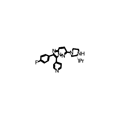 CC(C)[C@@H]1CN(c2ccc3nc(-c4ccc(F)cc4)c(-c4ccncc4)n3n2)CCN1